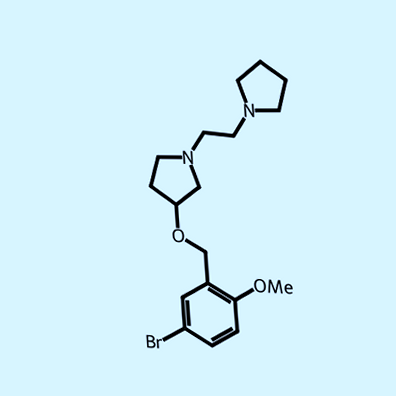 COc1ccc(Br)cc1COC1CCN(CCN2CCCC2)C1